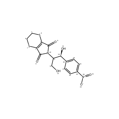 O=C1C2=C(SCCS2)C(=O)N1C(CO)[C@@H](O)c1ccc([N+](=O)[O-])cc1